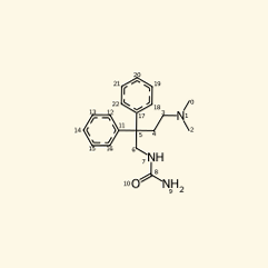 CN(C)CCC(CNC(N)=O)(c1ccccc1)c1ccccc1